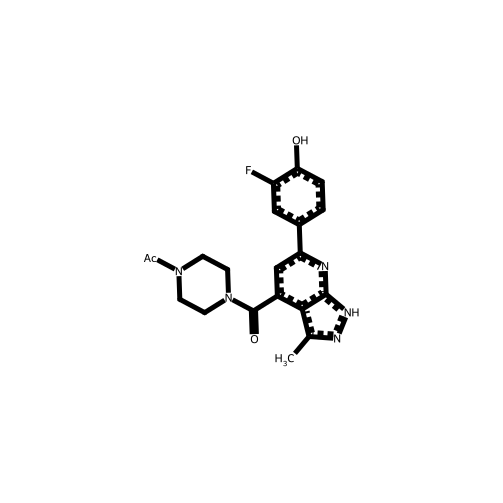 CC(=O)N1CCN(C(=O)c2cc(-c3ccc(O)c(F)c3)nc3[nH]nc(C)c23)CC1